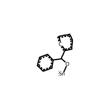 [Sn][O]C(c1ccccc1)c1ccccc1